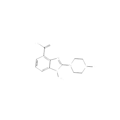 CC(=O)N1CCN(c2nc3c(C(N)=O)cccc3n2C)CC1